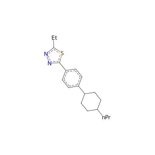 CCCC1CCC(c2ccc(-c3nnc(CC)s3)cc2)CC1